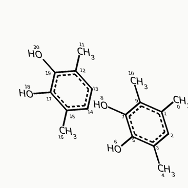 Cc1cc(C)c(O)c(O)c1C.Cc1ccc(C)c(O)c1O